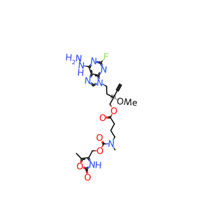 C#C[C@](CCn1cnc2c(NN)nc(F)nc21)(COC(=O)CCCN(C)C(=O)OCc1[nH]c(=O)oc1C)OC